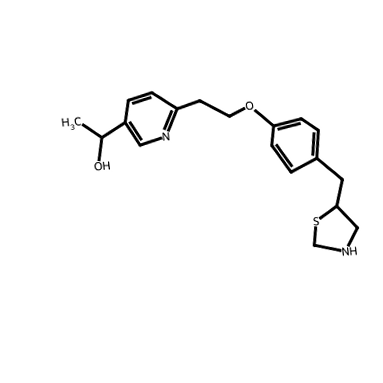 CC(O)c1ccc(CCOc2ccc(CC3CNCS3)cc2)nc1